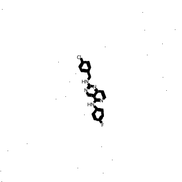 Fc1ccc(Nc2nccc3nc(NCc4ccc(Cl)cc4)ncc23)cc1